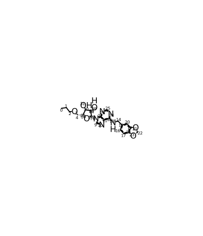 CCCOC[C@H]1O[C@@H](n2cnc3c(NCc4ccc5c(c4)OCO5)ncnc32)[C@@H](O)C1O